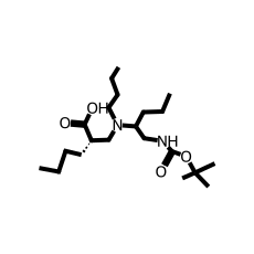 CCCC[C@@H](CN(CCCC)C(CCC)CNC(=O)OC(C)(C)C)C(=O)O